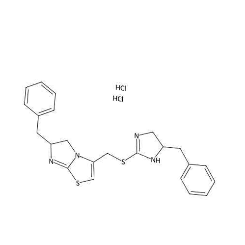 C1=C(CSC2=NCC(Cc3ccccc3)N2)N2CC(Cc3ccccc3)N=C2S1.Cl.Cl